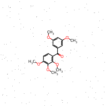 COc1cc(OC)cc(C(=O)c2ccc(OC)c(OC)c2OC)c1